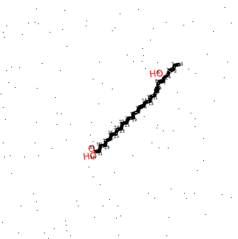 CC/C=C/CC(O)/C=C/C#CC/C=C/C/C=C/CCCCCCCCCCCCCCCC(=O)O